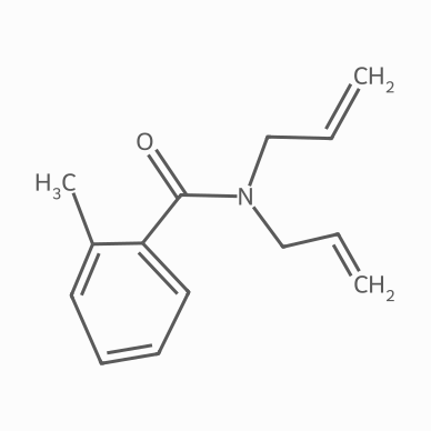 C=CCN(CC=C)C(=O)c1ccccc1C